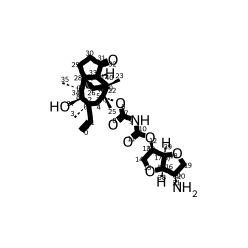 C=C[C@]1(C)C[C@@H](OC(=O)NC(=O)O[C@@H]2CO[C@H]3[C@@H]2OC[C@@H]3N)[C@]2(C)[C@H](C)CC[C@]3(CCC(=O)[C@H]32)[C@@H](C)[C@@H]1O